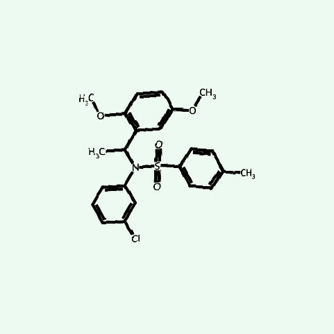 COc1ccc(OC)c(C(C)N(c2cccc(Cl)c2)S(=O)(=O)c2ccc(C)cc2)c1